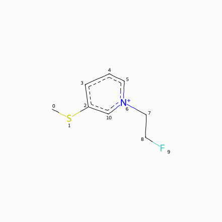 CSc1ccc[n+](CCF)c1